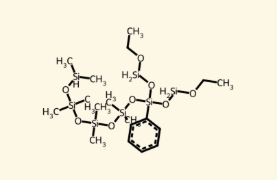 CCO[SiH2]O[Si](O[SiH2]OCC)(O[Si](C)(C)O[Si](C)(C)O[Si](C)(C)O[SiH](C)C)c1ccccc1